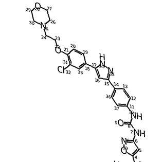 CC(C)(C)c1cc(NC(=O)Nc2ccc(-c3cc(-c4ccc(OCCN5CCOCC5)c(Cl)c4)[nH]n3)cc2)no1